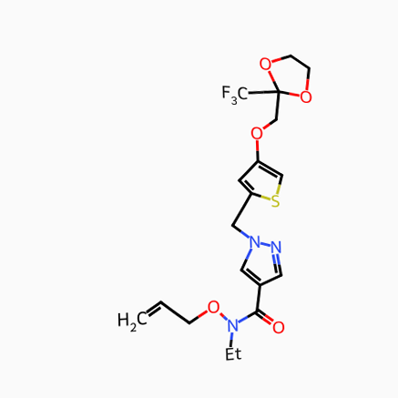 C=CCON(CC)C(=O)c1cnn(Cc2cc(OCC3(C(F)(F)F)OCCO3)cs2)c1